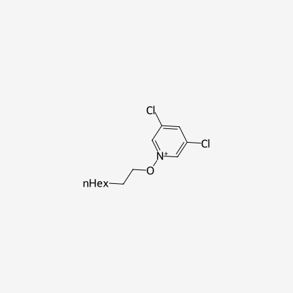 CCCCCCCCO[n+]1cc(Cl)cc(Cl)c1